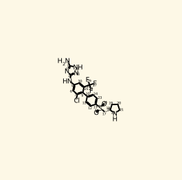 Nc1nc(Nc2cc(Cl)c(-c3ccc(S(=O)(=O)C[C@@H]4CCCN4)cc3)c(C(F)(F)F)c2)n[nH]1